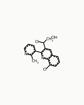 Cc1ncccc1-c1nc2c(Cl)cccc2cc1C(C)Cl.Cl